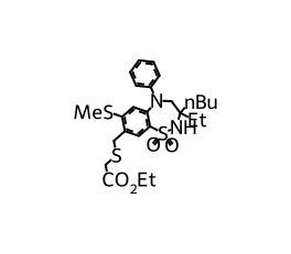 CCCCC1(CC)CN(c2ccccc2)c2cc(SC)c(CSCC(=O)OCC)cc2S(=O)(=O)N1